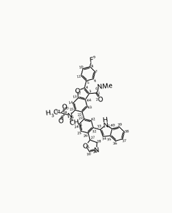 CNC(=O)c1c(-c2ccc(F)cc2)oc2cc(N(C)S(C)(=O)=O)c(-c3ccc(C4CN=CO4)c(-c4cc5ccccc5[nH]4)c3)cc12